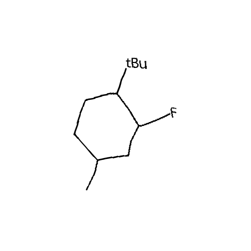 CC1CCC(C(C)(C)C)C(F)C1